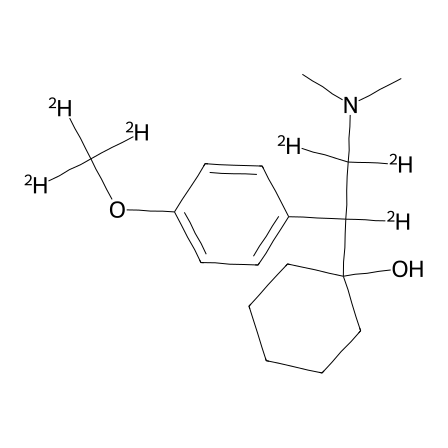 [2H]C([2H])([2H])Oc1ccc(C([2H])(C2(O)CCCCC2)C([2H])([2H])N(C)C)cc1